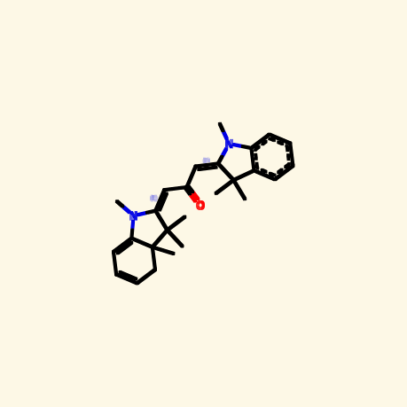 CN1C2=CC=CCC2(C)C(C)(C)/C1=C\C(=O)/C=C1/N(C)c2ccccc2C1(C)C